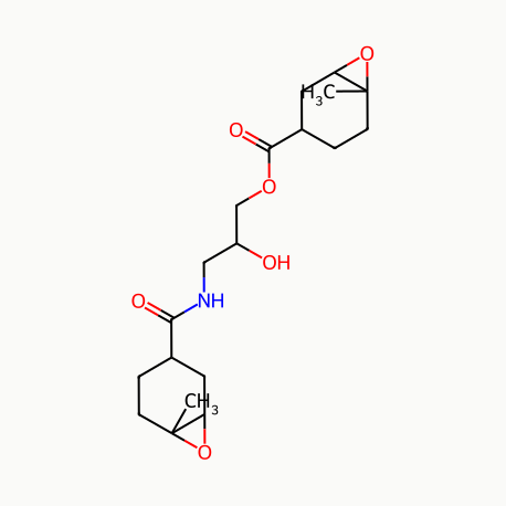 CC12CCC(C(=O)NCC(O)COC(=O)C3CCC4(C)OC4C3)CC1O2